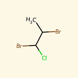 CC(Br)C(Cl)Br